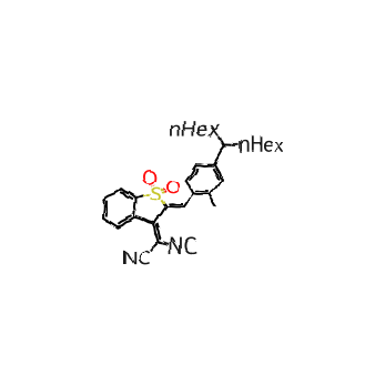 [C-]#[N+]/C(C#N)=C1\C(=C\c2ccc(C(CCCCCC)CCCCCC)cc2C)S(=O)(=O)c2ccccc21